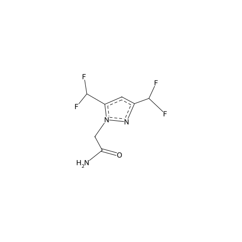 NC(=O)Cn1nc(C(F)F)cc1C(F)F